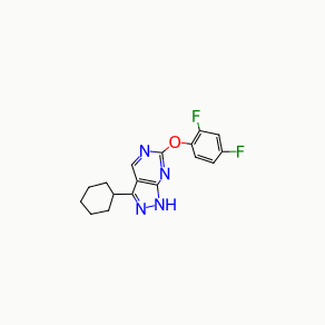 Fc1ccc(Oc2ncc3c(C4CCCCC4)n[nH]c3n2)c(F)c1